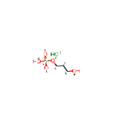 Cl.O=S(=O)(O)OCCCO